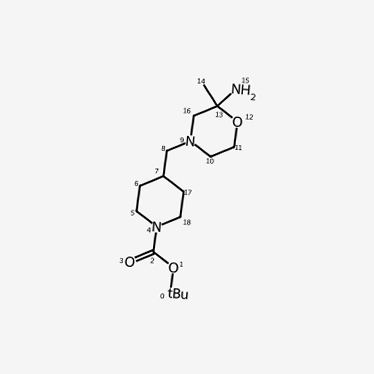 CC(C)(C)OC(=O)N1CCC(CN2CCOC(C)(N)C2)CC1